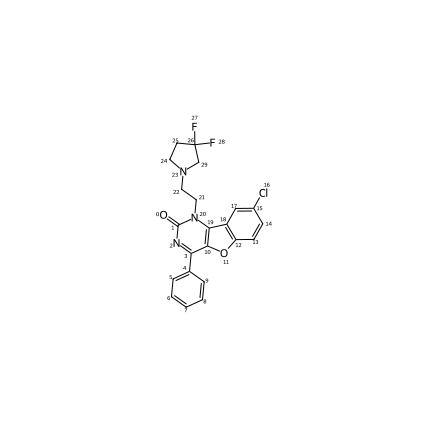 O=c1nc(-c2ccccc2)c2oc3ccc(Cl)cc3c2n1CCN1CCC(F)(F)C1